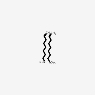 C=CCCCCCCCCCCCCCCCC.C=CCCCCCCCCCCCCCCCC